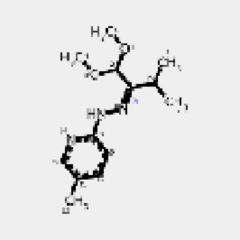 COC(OC)/C(=N\Nc1ccc(C)cn1)C(C)C